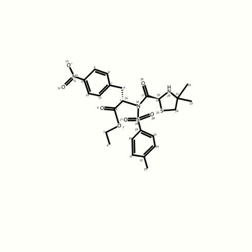 CCOC(=O)[C@H](Cc1ccc([N+](=O)[O-])cc1)N(C(=O)[C@H]1NC(C)(C)CS1)S(=O)(=O)c1ccc(C)cc1